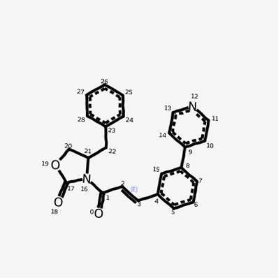 O=C(/C=C/c1cccc(-c2ccncc2)c1)N1C(=O)OCC1Cc1ccccc1